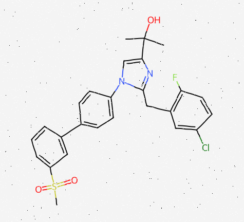 CC(C)(O)c1cn(-c2ccc(-c3cccc(S(C)(=O)=O)c3)cc2)c(Cc2cc(Cl)ccc2F)n1